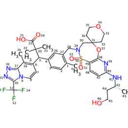 Cc1ccc(C(c2ccn3c(C(F)(F)F)nnc3c2C)C(C)(C)C(=O)O)cc1CN1CC2(CCOCC2)Oc2nc(N[C@H](C)CCO)ccc2S1(=O)=O